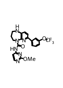 COc1nccc(NC(=O)N2CCCNc3ccc(-c4cccc(OC(F)(F)F)c4)nc32)n1